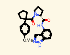 COc1ccc(C2(C(=O)N3CCC[C@@H]3C(=O)Nc3cccc4[nH]ncc34)CCCC2)cc1